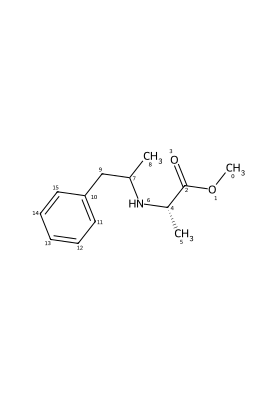 COC(=O)[C@H](C)NC(C)Cc1ccccc1